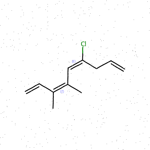 C=CC/C(Cl)=C\C(C)=C(\C)C=C